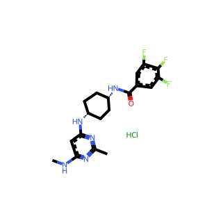 CNc1cc(N[C@H]2CC[C@@H](NC(=O)c3cc(F)c(F)c(F)c3)CC2)nc(C)n1.Cl